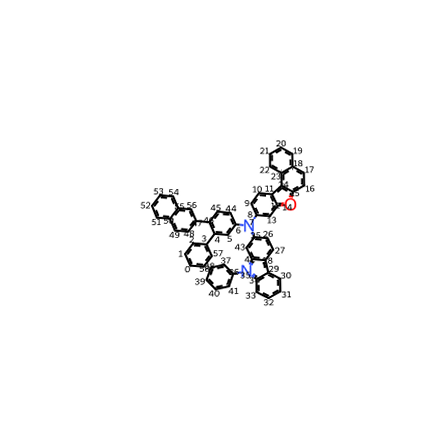 c1ccc(-c2cc(N(c3ccc4c(c3)oc3ccc5ccccc5c34)c3ccc4c5ccccc5n(-c5ccccc5)c4c3)ccc2-c2ccc3ccccc3c2)cc1